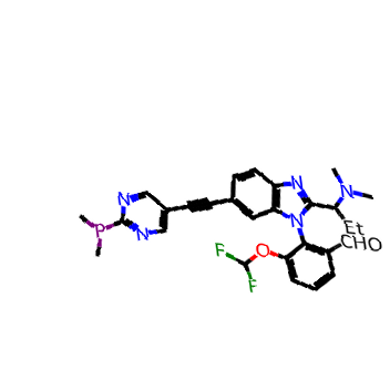 CCC(c1nc2ccc(C#Cc3cnc(P(C)C)nc3)cc2n1-c1c(C=O)cccc1OC(F)F)N(C)C